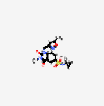 Cc1cc(Cn2c(=O)n(C)c(=O)c3cc(S(=O)(=O)NC4(C)CC4)ccc32)no1